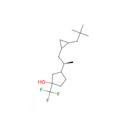 C[C@H](CC1CC1CC(C)(C)C)C1CCC(O)(C(F)(F)F)C1